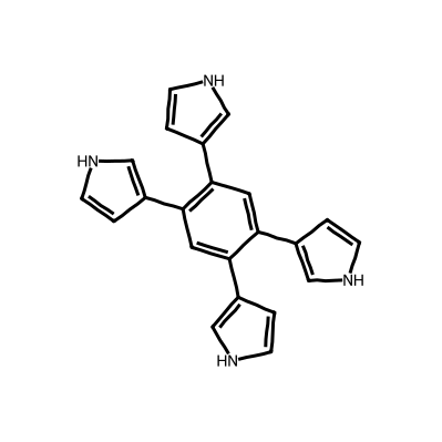 c1cc(-c2cc(-c3cc[nH]c3)c(-c3cc[nH]c3)cc2-c2cc[nH]c2)c[nH]1